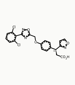 O=C(O)C[C@@H](c1ccc(OCc2nc(-c3c(Cl)cccc3Cl)no2)cc1)c1ccon1